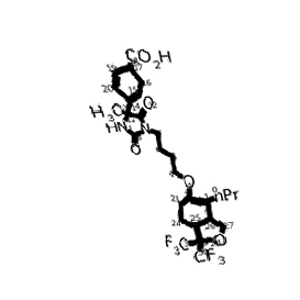 CCCC1=C(OCCCCN2C(=O)NC(C)(C3=CCC(C(=O)O)C=C3)C2=O)CCC2C1COC2(C(F)(F)F)C(F)(F)F